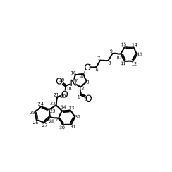 O=C[C@@H]1C[C@@H](OCCCCc2ccccc2)CN1C(=O)OCC1c2ccccc2-c2ccccc21